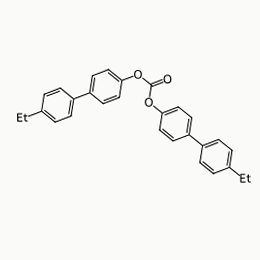 CCc1ccc(-c2ccc(OC(=O)Oc3ccc(-c4ccc(CC)cc4)cc3)cc2)cc1